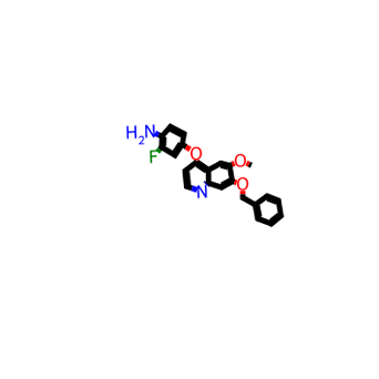 COc1cc2c(Oc3ccc(N)c(F)c3)ccnc2cc1OCc1ccccc1